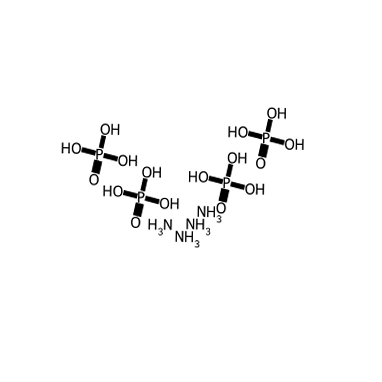 N.N.N.N.O=P(O)(O)O.O=P(O)(O)O.O=P(O)(O)O.O=P(O)(O)O